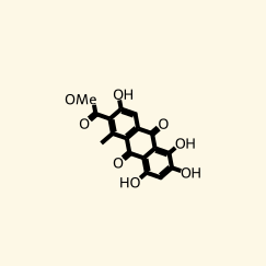 COC(=O)c1c(O)cc2c(c1C)C(=O)c1c(O)cc(O)c(O)c1C2=O